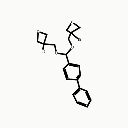 CCC1(COC(OCC2(CC)COC2)c2ccc(-c3ccccc3)cc2)COC1